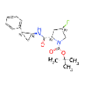 CC(C)(C)OC(=O)N1C[C@H](F)C[C@H]1C(=O)N[C@H]1C[C@@H]1c1ccccc1